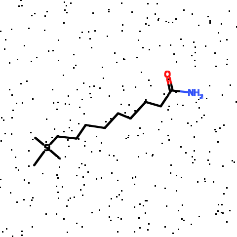 C[Si](C)(C)CCCCCCCCC(N)=O